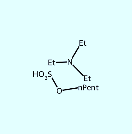 CCCCCOS(=O)(=O)O.CCN(CC)CC